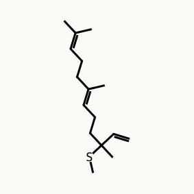 C=CC(C)(CC/C=C(\C)CCC=C(C)C)SC